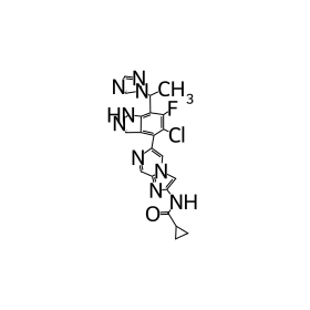 CC(c1c(F)c(Cl)c(-c2cn3cc(NC(=O)C4CC4)nc3cn2)c2cn[nH]c12)n1cncn1